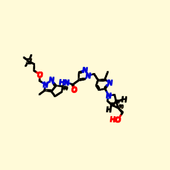 Cc1nc(N2C[C@@H]3[C@@H](CO)[C@@H]3C2)ccc1Cn1cc(C(=O)N[C@@H]2CCc3c2nn(COCC[Si](C)(C)C)c3C)cn1